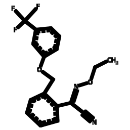 CCON=C(C#N)c1ccccc1COc1cccc(C(F)(F)F)c1